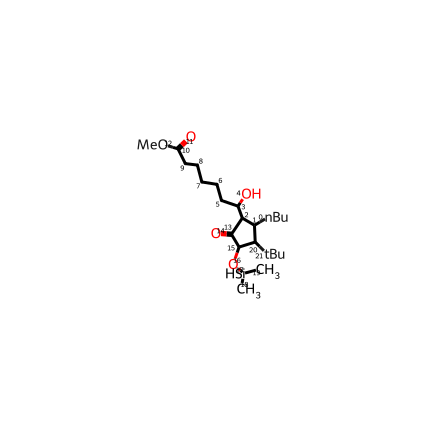 CCCCC1C(C(O)CCCCCC(=O)OC)C(=O)C(O[SiH](C)C)C1C(C)(C)C